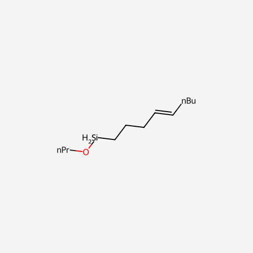 CCCCC=CCCC[SiH2]OCCC